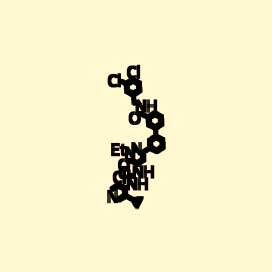 CCn1nc(-c2cccc(-c3cccc(C(=O)NCc4ccc(Cl)c(Cl)c4)c3)c2)cc(NC(=O)Nc2c(Cl)cncc2C2CC2)c1=O